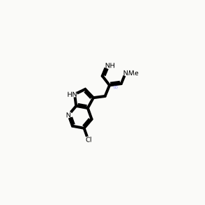 CN/C=C(\C=N)Cc1c[nH]c2ncc(Cl)cc12